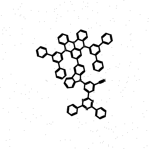 N#Cc1cc(-c2nc(-c3ccccc3)nc(-c3ccccc3)n2)cc(-n2c3ccccc3c3cc(-c4cc5c6c(c4)N(c4cc(-c7ccccc7)cc(-c7ccccc7)c4)c4ccccc4B6c4ccccc4N5c4cc(-c5ccccc5)cc(-c5ccccc5)c4)ccc32)c1